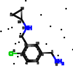 NCc1ccc(Cl)c(CNC2CC2)c1